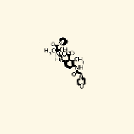 Cc1c(NC(=O)CN2CCOCC2)ccc2nc(NC(C)(C)C(=O)n3cccc3)oc(=O)c12